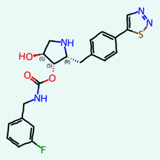 O=C(NCc1cccc(F)c1)O[C@@H]1[C@@H](O)CN[C@@H]1Cc1ccc(-c2cnns2)cc1